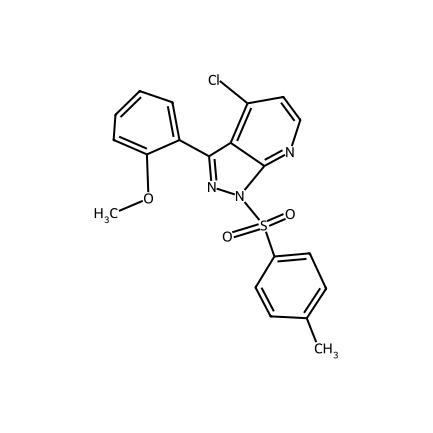 COc1ccccc1-c1nn(S(=O)(=O)c2ccc(C)cc2)c2nccc(Cl)c12